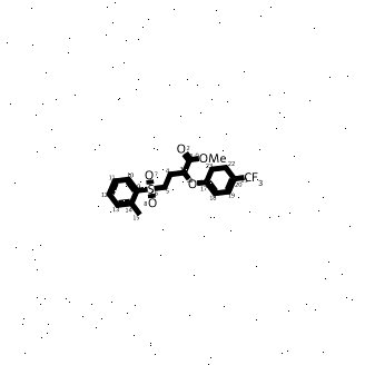 COC(=O)C(CCS(=O)(=O)c1ccccc1C)OC1=CC=C(C(F)(F)F)CC1